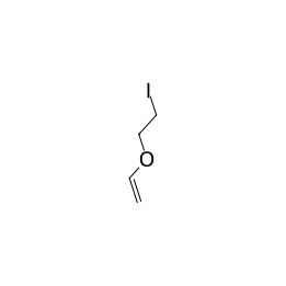 C=COCCI